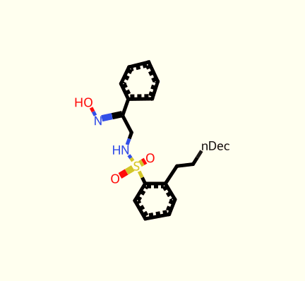 CCCCCCCCCCCCc1ccccc1S(=O)(=O)NCC(=NO)c1ccccc1